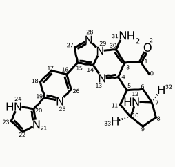 CC(=O)c1c(C2C[C@H]3CC[C@@H](C2)N3)nc2c(-c3ccc(-c4ncc[nH]4)nc3)cnn2c1N